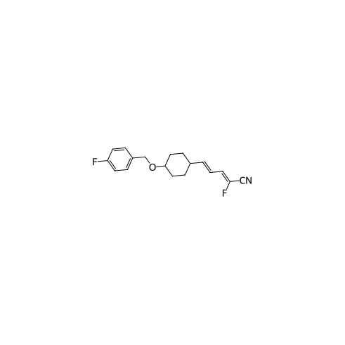 N#CC(F)=CC=CC1CCC(OCc2ccc(F)cc2)CC1